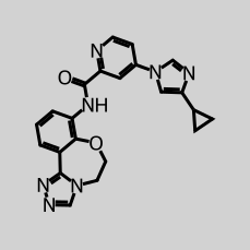 O=C(Nc1cccc2c1OCCn1cnnc1-2)c1cc(-n2cnc(C3CC3)c2)ccn1